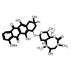 COc1cccc2c1C(=O)c1c(O)c3c(c(O)c1C2=O)C[C@@](O)(C(C)=O)C[C@@H]3O[C@H]1C[C@H]2[C@H](OC(=O)N(C)CC(O)N2C)[C@H](C)O1